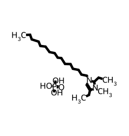 CCCCCCCCCCCCCCCCN1C=C(CC)N(C)C1CC.O=P(O)(O)O